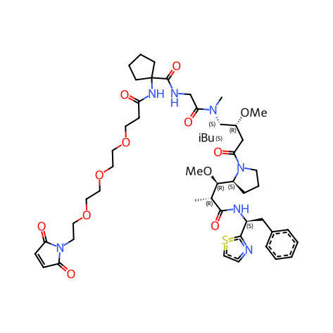 CC[C@H](C)[C@@H]([C@@H](CC(=O)N1CCC[C@H]1[C@H](OC)[C@@H](C)C(=O)N[C@@H](Cc1ccccc1)c1nccs1)OC)N(C)C(=O)CNC(=O)C1(NC(=O)CCOCCOCCOCCN2C(=O)C=CC2=O)CCCC1